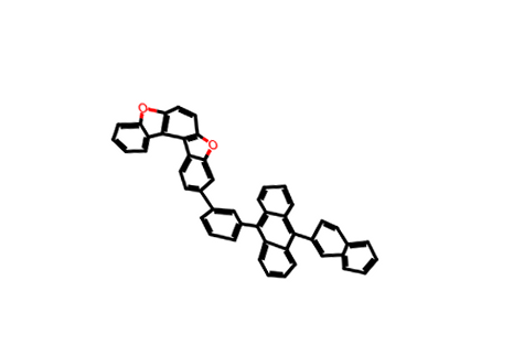 c1cc(-c2ccc3c(c2)oc2ccc4oc5ccccc5c4c23)cc(-c2c3ccccc3c(-c3ccc4ccccc4c3)c3ccccc23)c1